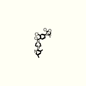 Cc1cnc(N2CCN(C(=O)c3ccc(N4C(=O)OC[C@H]4C)cc3Cl)CC2)c(C)c1